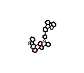 c1ccc(-c2ccc(-c3ccccc3N(c3ccc(-c4ccc5c(c4)C4(CCc6ccccc64)c4ccccc4-5)cc3)c3ccc(-c4cccc5oc6ccccc6c45)cc3)cc2)cc1